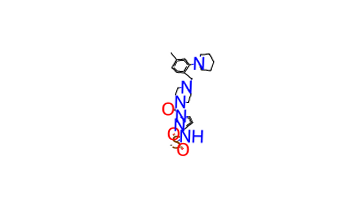 Cc1ccc(CN2CCN(C(=O)n3ccc(NS(C)(=O)=O)n3)CC2)c(N2CCCCC2)c1